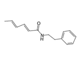 CC=CC=CC(=O)NCCc1ccccc1